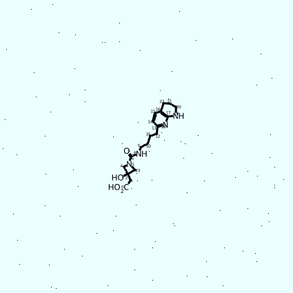 O=C(O)CC1(O)CN(C(=O)NCCCCc2ccc3c(n2)NCCC3)C1